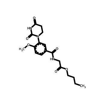 CCCCOC(=O)CNC(=O)c1ccc(OC)c(N2CCC(=O)NC2=O)c1